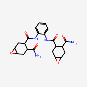 NC(=O)C1CC2OC2CC1C(=O)Nc1ccccc1NC(=O)C1CC2OC2CC1C(N)=O